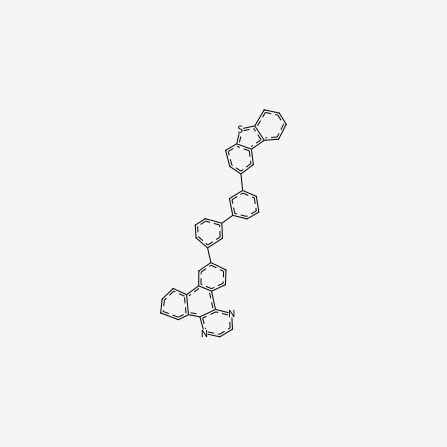 c1cc(-c2cccc(-c3ccc4c(c3)c3ccccc3c3nccnc43)c2)cc(-c2ccc3sc4ccccc4c3c2)c1